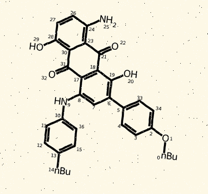 CCCCOc1ccc(-c2cc(Nc3ccc(CCCC)cc3)c3c(c2O)C(=O)c2c(N)ccc(O)c2C3=O)cc1